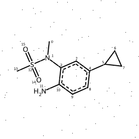 CN(c1cc(C2CC2)ccc1N)S(C)(=O)=O